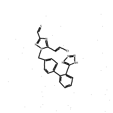 CCC=Cc1nc(C=S)nn1Cc1ccc(-c2ccccc2-c2nnn[nH]2)cc1